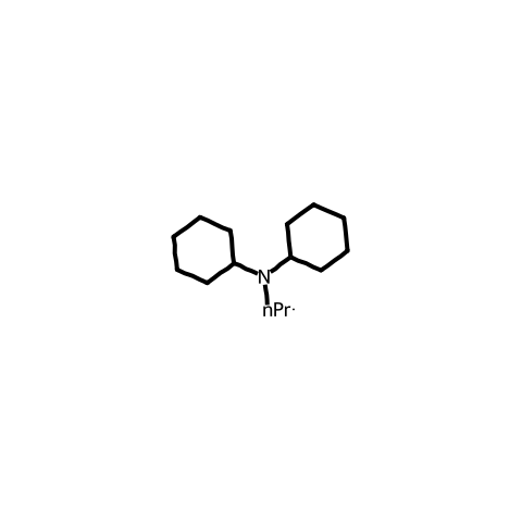 CC[CH]N(C1CCCCC1)C1CCCCC1